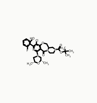 C[C@@H]1CN(c2nc(-c3c(O)cccc3F)c(Cl)c3c2C(=O)N2CCN(C(=O)OC(C)(C)C)CC2CO3)C[C@H](C)O1